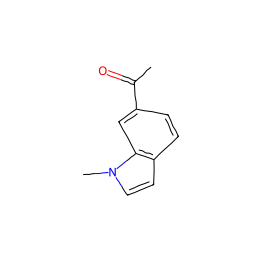 CC(=O)c1ccc2ccn(C)c2c1